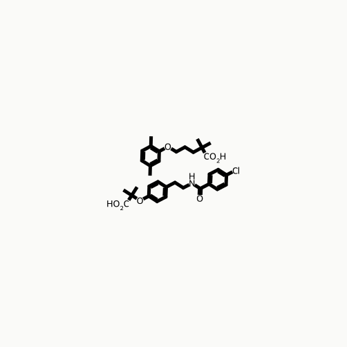 CC(C)(Oc1ccc(CCNC(=O)c2ccc(Cl)cc2)cc1)C(=O)O.Cc1ccc(C)c(OCCCC(C)(C)C(=O)O)c1